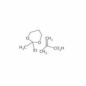 C=C(C)C(=O)O.CCC1(C)OCCCO1